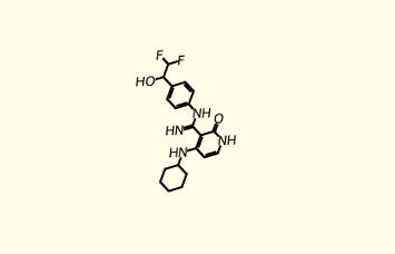 N=C(Nc1ccc(C(O)C(F)F)cc1)c1c(NC2CCCCC2)cc[nH]c1=O